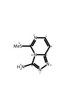 CSc1nccc2nnc(N)n12